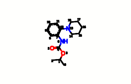 CC(C)OC(=O)Nc1ccccc1N1CCCCC1